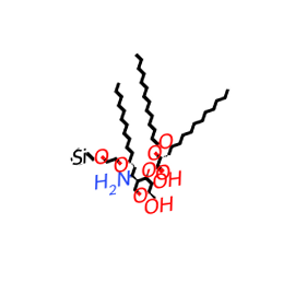 CCCCCCCCCCCCCC(=O)O[C@H](CCCCCCCCCCCC)C(=O)O[C@H]1[C@H](O)[C@@H](CO)OC[C@H]1C(N)C[C@@H](CCCCCCCCCCC)OCCOCC[Si](C)(C)C